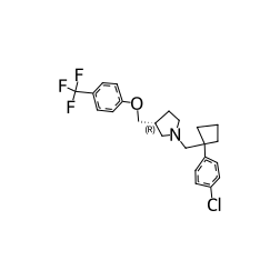 FC(F)(F)c1ccc(OC[C@@H]2CCN(CC3(c4ccc(Cl)cc4)CCC3)C2)cc1